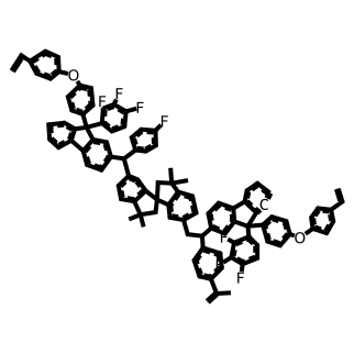 C=Cc1ccc(Oc2ccc(C3(c4ccc(F)c(F)c4F)c4ccccc4-c4ccc(C(Cc5ccc6c(c5)C5(CC6(C)C)CC(C)(C)c6ccc(C(c7ccc(F)cc7)c7ccc8c(c7)C(c7ccc(Oc9ccc(C=C)cc9)cc7)(c7ccc(F)c(F)c7F)c7ccccc7-8)cc65)c5ccc(C(=C)C)cc5)cc43)cc2)cc1